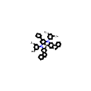 CC(C)(C)c1cc(N2c3cc4c(ccc5ccccc54)cc3B3c4cc5ccc6ccccc6c5cc4N(c4cc(C(C)(C)C)cc(C(C)(C)C)c4)c4cc(-c5ccccc5)cc2c43)cc(C(C)(C)C)c1